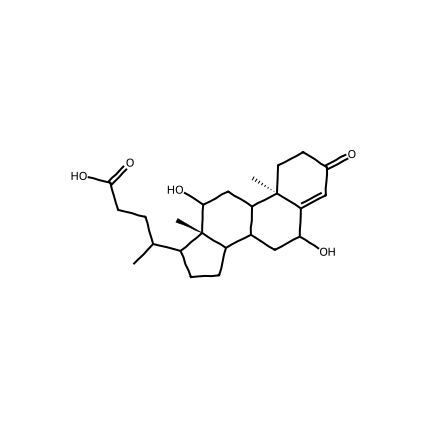 CC(CCC(=O)O)C1CCC2C3CC(O)C4=CC(=O)CC[C@]4(C)C3CC(O)[C@@]12C